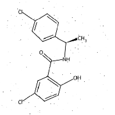 C[C@@H](NC(=O)c1cc(Cl)ccc1O)c1ccc(Cl)cc1